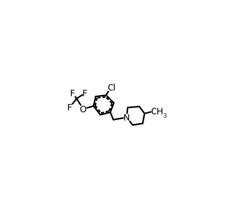 CC1CCN(Cc2cc(Cl)cc(OC(F)(F)F)c2)CC1